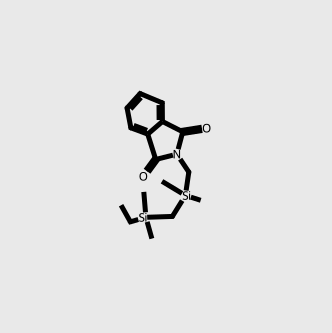 CC[Si](C)(C)C[Si](C)(C)CN1C(=O)c2ccccc2C1=O